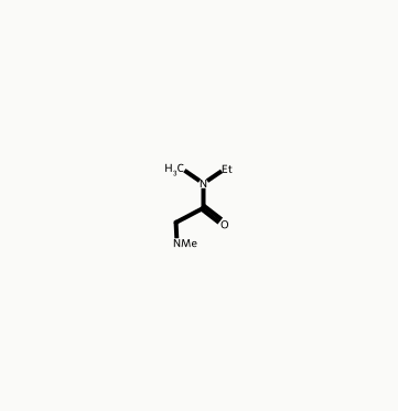 CCN(C)C(=O)CNC